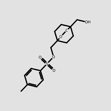 Cc1ccc(S(=O)(=O)OCC23CCC(CO)(CC2)CO3)cc1